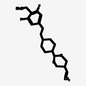 C=CC1COC(C2CCC(CCc3cc(F)c(COC)c(F)c3)CC2)OC1